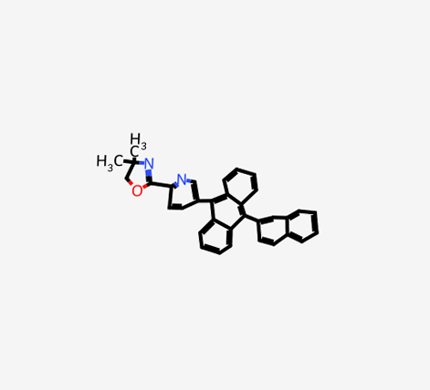 CC1(C)COC(c2ccc(-c3c4ccccc4c(-c4ccc5ccccc5c4)c4ccccc34)cn2)=N1